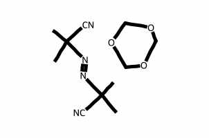 C1OCOCO1.CC(C)(C#N)N=NC(C)(C)C#N